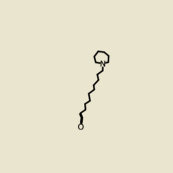 O=C=CCCCCCCCCCN1CCCCCC1